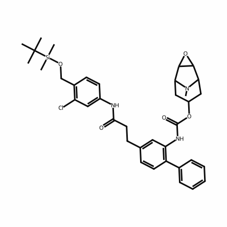 CN1C2CC(OC(=O)Nc3cc(CCC(=O)Nc4ccc(CO[Si](C)(C)C(C)(C)C)c(Cl)c4)ccc3-c3ccccc3)CC1C1OC12